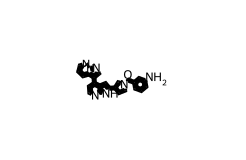 Nc1cccc(C(=O)N2CCC(c3cc4c(-c5cnn6ncccc56)ccnc4[nH]3)C2)c1